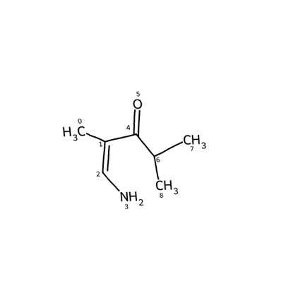 CC(=CN)C(=O)C(C)C